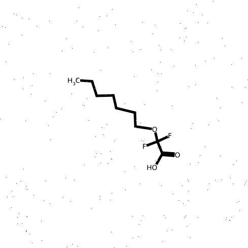 CCCCCCCOC(F)(F)C(=O)O